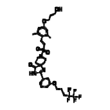 Cc1cc(OCCCO)cc(C)c1/C=C/S(=O)(=O)N1CCC2(CC1)N=C(c1cccc(OCCCC(F)(F)C(F)(F)F)c1)NC2=O